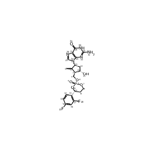 C=C1[C@H](CO[P@]2(=O)OCC[C@H](c3ccc(F)cc3F)O2)[C@@H](O)C[C@@H]1n1cnc2c(=O)[nH]c(N)nc21